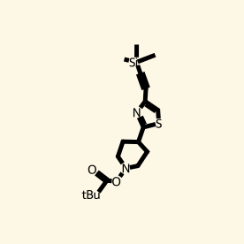 CC(C)(C)C(=O)ON1CCC(c2nc(C#C[Si](C)(C)C)cs2)CC1